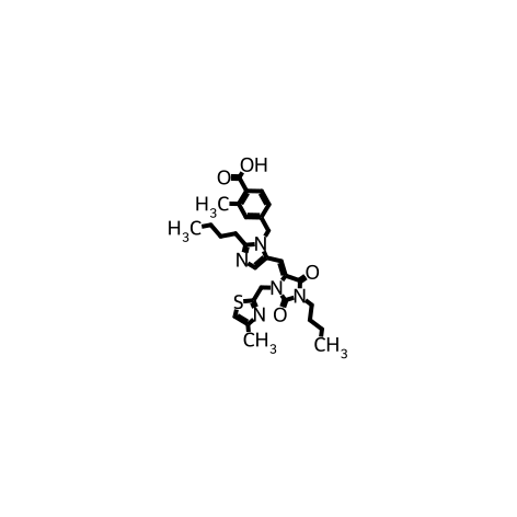 CCCCc1ncc(C=C2C(=O)N(CCCC)C(=O)N2Cc2nc(C)cs2)n1Cc1ccc(C(=O)O)c(C)c1